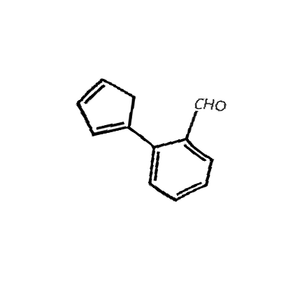 O=Cc1ccccc1C1=CC=CC1